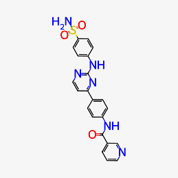 NS(=O)(=O)c1ccc(Nc2nccc(-c3ccc(NC(=O)c4cccnc4)cc3)n2)cc1